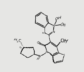 C[C@H]1CCC(Nn2c(=O)c(C3=NS(O)(O)c4ccccc4N3)c(O)c3sccc32)C1